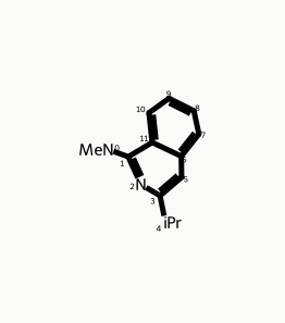 CNc1nc(C(C)C)cc2ccccc12